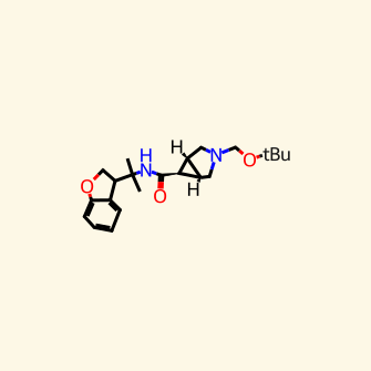 CC(C)(C)OCN1C[C@@H]2[C@H](C1)[C@H]2C(=O)NC(C)(C)C1COc2ccccc21